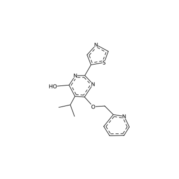 CC(C)c1c(O)nc(-c2cncs2)nc1OCc1ccccn1